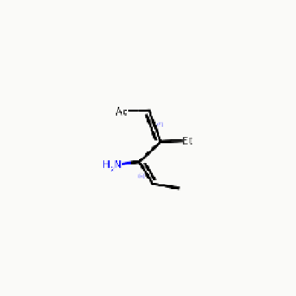 C/C=C(N)\C(=C/C(C)=O)CC